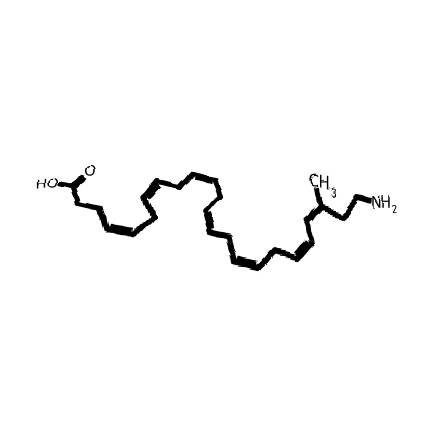 CC(C/C=C\C/C=C\C/C=C\C/C=C\C/C=C\C/C=C\CCC(=O)O)CCN